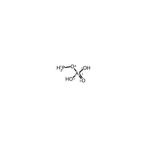 O=[As](O)(O)OP